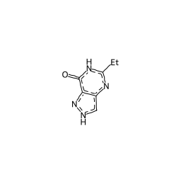 CCc1nc2c[nH]nc2c(=O)[nH]1